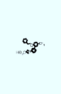 O=C(O)C1CN(c2cccc(-c3cc(C(F)(F)F)ccc3OCCc3ccccc3)c2)C1